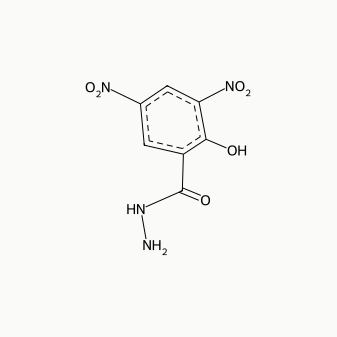 NNC(=O)c1cc([N+](=O)[O-])cc([N+](=O)[O-])c1O